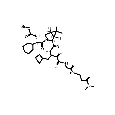 CN(C)C(=O)CCNC(=O)CNC(=O)C(=O)C(CC1CCC1)NC(=O)[C@@H]1[C@@H]2[C@H](CN1C(=O)[C@@H](NC(=O)OC(C)(C)C)C1CCCCC1)C2(C)C